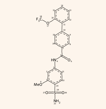 COc1cc(NC(=O)c2ccc(-c3ccccc3OC(F)(F)F)cc2)ccc1S(N)(=O)=O